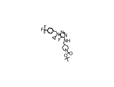 CC(C)(C)OC(=O)N1CCC(CNc2ncnc(N(Cc3ccc(C(F)(F)F)cc3)C3CC3)c2F)CC1